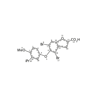 COc1ccc(Oc2c(Br)cc3oc(C(=O)O)cc3c2Br)cc1C(C)C